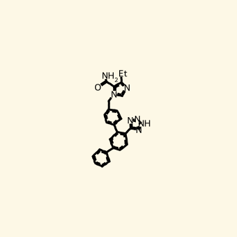 CCc1ncn(Cc2ccc(-c3cc(-c4ccccc4)ccc3-c3nn[nH]n3)cc2)c1C(N)=O